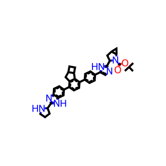 CC(C)(C)OC(=O)N1C(c2ncc(-c3ccc(-c4ccc(-c5ccc6nc(C7CCCN7)[nH]c6c5)c5c4C4CCC4C5)cc3)[nH]2)CC2CC21